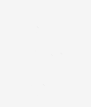 CCN(CC)CCOc1ccn2c(-c3cc4c(c(OC)c3)C(=O)N(CC(F)(F)F)CC4)cnc2c1